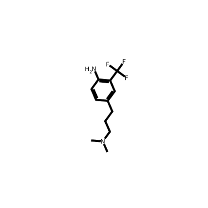 CN(C)CCCc1ccc(N)c(C(F)(F)F)c1